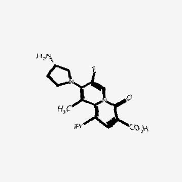 Cc1c(N2CC[C@H](N)C2)c(F)cn2c(=O)c(C(=O)O)cc(C(C)C)c12